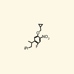 CC(C)CC(C)c1cc(OCC2CC2)c([N+](=O)[O-])cc1F